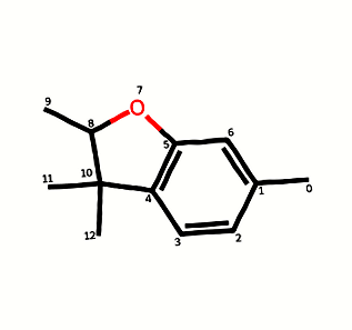 Cc1ccc2c(c1)OC(C)C2(C)C